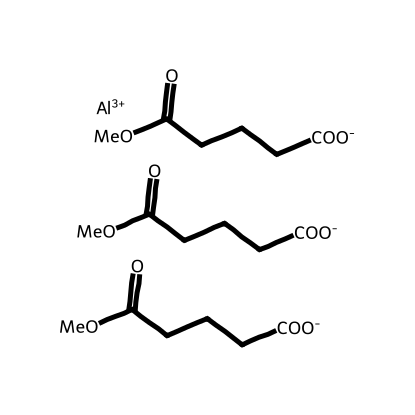 COC(=O)CCCC(=O)[O-].COC(=O)CCCC(=O)[O-].COC(=O)CCCC(=O)[O-].[Al+3]